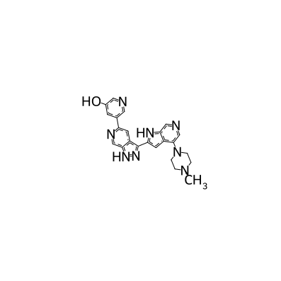 CN1CCN(c2cncc3[nH]c(-c4n[nH]c5cnc(-c6cncc(O)c6)cc45)cc23)CC1